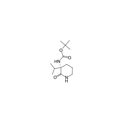 CC(C)[C@@]1(NC(=O)OC(C)(C)C)CCCNC1=O